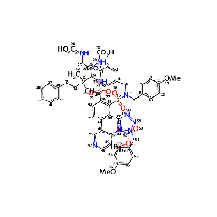 COc1ccc(CN(Cc2ccc(OC)cc2)S(=O)(=O)c2c(S(=O)(=O)NC(C(CNC(=O)O)NC(=O)O)C(C)(C)CCc3ccccc3)ccc(-c3cnccc3NC(=O)OC(C)(C)C)c2-c2nnn(Cc3ccc(OC)cc3)n2)cc1